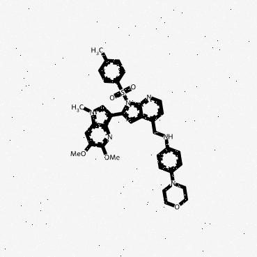 COc1cc2c(nc1OC)c(-c1cc3c(CNc4ccc(N5CCOCC5)cc4)ccnc3n1S(=O)(=O)c1ccc(C)cc1)cn2C